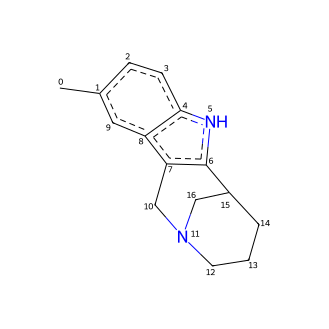 Cc1ccc2[nH]c3c(c2c1)CN1CCCC3C1